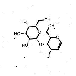 OC[C@H]1O[C@H](O[C@H]2[C@H](O)C=CO[C@@H]2CO)[C@H](O)[C@@H](O)[C@@H]1O